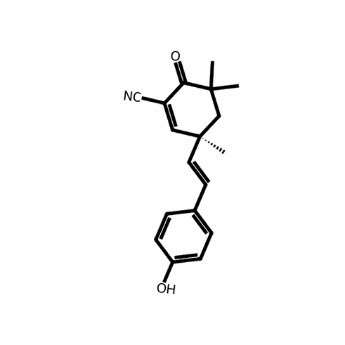 CC1(C)C[C@@](C)(/C=C/c2ccc(O)cc2)C=C(C#N)C1=O